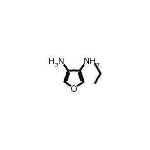 CCC.Nc1cocc1N